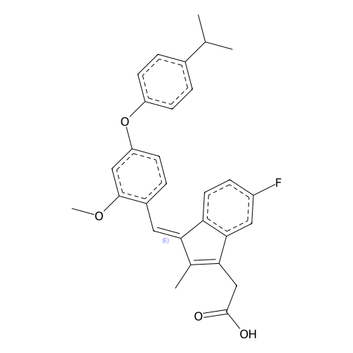 COc1cc(Oc2ccc(C(C)C)cc2)ccc1/C=C1/C(C)=C(CC(=O)O)c2cc(F)ccc21